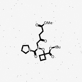 COC(=O)CCC(=O)CN(OC1(C(=O)OC(C)(C)C)CCC1)C(=O)N1CCCC1